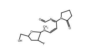 CN(/C=C\C(=N/C=O)N1CCCC1=O)C1OC(CO)CC1F